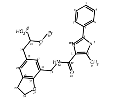 Cc1sc(-c2ccccc2)nc1C(=O)NCc1cc(CC(OC(C)C)C(=O)O)cc2c1OCC2